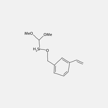 C=Cc1cccc(CO[SiH2]C(OC)OC)c1